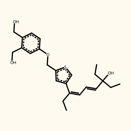 CC/C(=C/C=C/C(O)(CC)CC)c1csc(COc2ccc(CO)c(CO)c2)c1